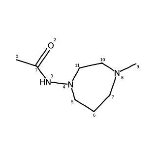 CC(=O)NN1CCCN(C)CC1